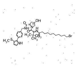 CSc1cc[nH]c1-c1ccc(CNC(=O)[C@@H]2C[C@@H](O)CN2C(=O)[C@@H](NC(=O)CCCCCCCCCCBr)C(C)(C)C)cc1